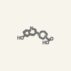 O=C(O)N1CCCN(c2cnc3ccc(O)cc3c2)CC1